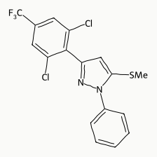 CSc1cc(-c2c(Cl)cc(C(F)(F)F)cc2Cl)nn1-c1ccccc1